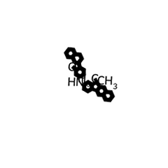 CC1(C)c2cc(Nc3ccc4c(c3)oc3c5ccccc5ccc43)ccc2-c2cc3ccccc3cc21